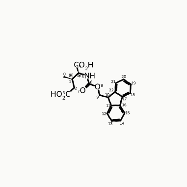 C[C@H](CC(=O)O)[C@H](NC(=O)OCC1c2ccccc2-c2ccccc21)C(=O)O